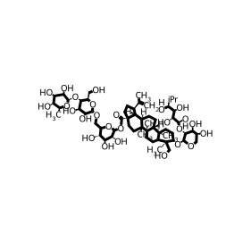 C=C(C)[C@@H]1CC[C@]2(C(=O)OC3OC(COC4O[C@H](CO)[C@@H](O[C@@H]5O[C@@H](C)[C@H](O)[C@@H](O)[C@H]5O)[C@H](O)[C@H]4O)[C@@H](O)[C@H](O)[C@H]3O)CC[C@]3(C)[C@H](CC[C@@H]4[C@@]5(C)CC[C@H](O[C@@H]6OC[C@H](O)[C@H](O)[C@H]6O[C@H](O)[C@H](O)[C@H](O)[C@@H](O)C(C)C)[C@@](C)(CO)C5CC[C@]43C)[C@@H]12